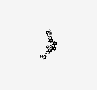 COc1nc(-c2cccc(-c3ccnc(-c4cc(Cl)c5c(c4)CCN(C[C@H]4CCC(=O)N4)C5)c3Cl)c2Cl)ccc1CNC[C@@H]1CCC(=O)N1